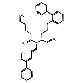 C=CCCCC(=C)N(/C=C/C=C(\C=C)C1=CCCC=C1)C(C=C)CCCc1ccccc1-c1ccccc1